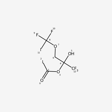 O=C(I)OC(O)(COC(F)(F)I)C(F)(F)F